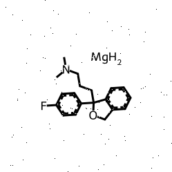 CN(C)CCCC1(c2ccc(F)cc2)OCc2ccccc21.[MgH2]